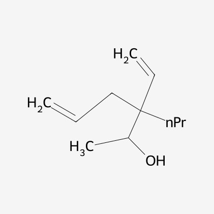 C=CCC(C=C)(CCC)C(C)O